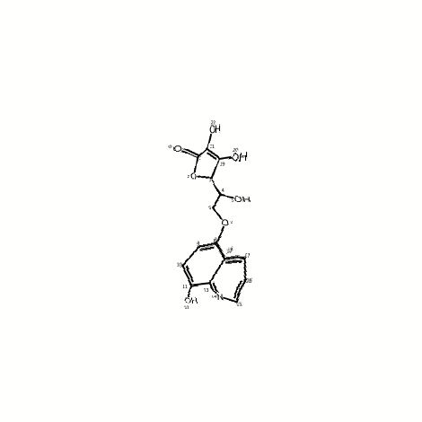 O=C1O[C@H](C(O)COc2ccc(O)c3ncccc23)C(O)=C1O